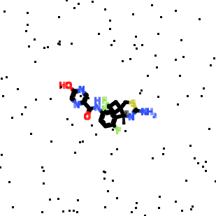 C[C@]1(c2cc(NC(=O)c3cnc(O)cn3)ccc2F)N=C(N)SCC12CC(F)(F)C2